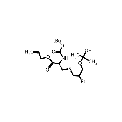 C=CCOC(=O)[C@H](CSCC(CC)COC(C)(C)O)NC(=O)OC(C)(C)C